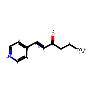 O=C(O)CCC(=O)/C=C/c1ccncc1